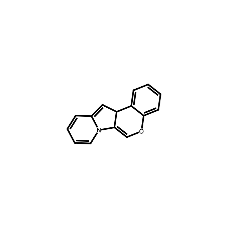 C1=CC2=CC3C(=COc4ccccc43)N2C=C1